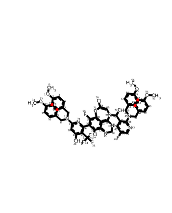 COc1ccc(CN(Cc2ccc(OC)cc2)c2cc(C)c(C(F)(F)F)c(-c3c(F)c4c5c(c3Cl)=NCNC=5N(C(C)c3cc(F)cnc3N(Cc3ccc(OC)cc3)Cc3ccc(OC)cc3)C=C(Cl)O4)n2)cc1